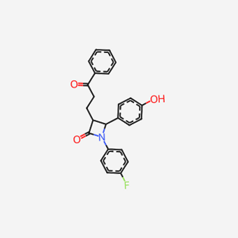 O=C(CCC1C(=O)N(c2ccc(F)cc2)C1c1ccc(O)cc1)c1ccccc1